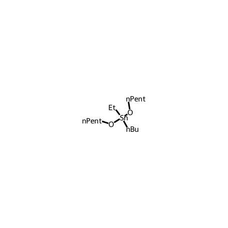 CCCCC[O][Sn]([CH2]C)([CH2]CCC)[O]CCCCC